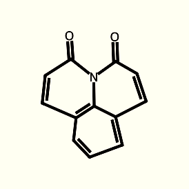 O=c1ccc2cccc3ccc(=O)n1c23